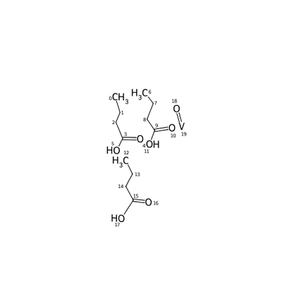 CCCC(=O)O.CCCC(=O)O.CCCC(=O)O.[O]=[V]